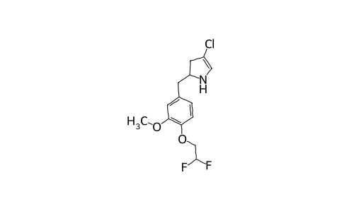 COc1cc(CC2CC(Cl)=CN2)ccc1OCC(F)F